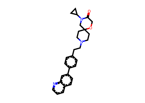 O=C1COC2(CCN(CCc3ccc(-c4ccc5cccnc5c4)cc3)CC2)CN1C1CC1